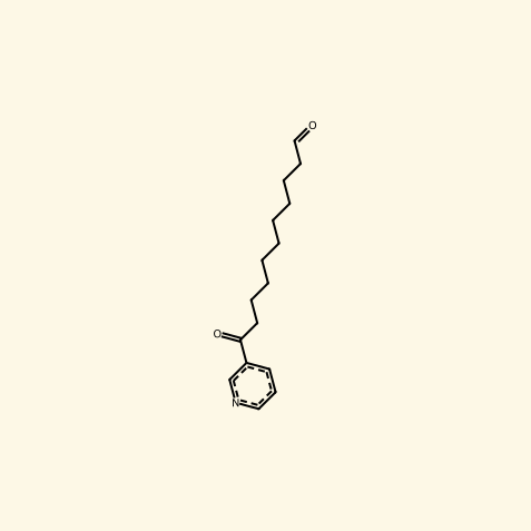 O=CCCCCCCCCCC(=O)c1cccnc1